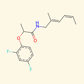 C/C=C\C=C(/C)CNC(=O)C(C)Oc1ccc(F)cc1F